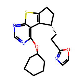 c1coc(CC[C@H]2CCc3sc4ncnc(OC5CCCCC5)c4c32)n1